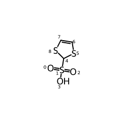 O=S(=O)(O)C1SC=CS1